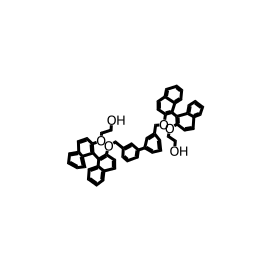 OCCOc1ccc2ccccc2c1-c1c(OCc2cccc(-c3cccc(COc4ccc5ccccc5c4-c4c(OCCO)ccc5ccccc45)c3)c2)ccc2ccccc12